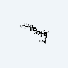 C=C[C@H](NCCCNC(C)=N)c1ccc(-n2cc3cc(-c4cc(CCC[C@@H](N)CF)cc(Cl)c4F)[nH]c3nc2=O)cc1